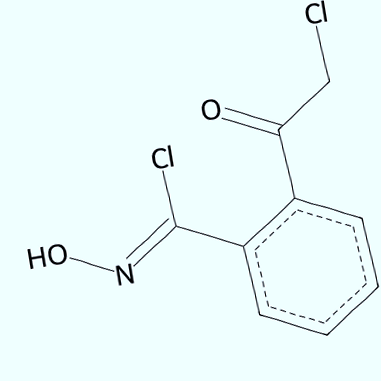 O=C(CCl)c1ccccc1C(Cl)=NO